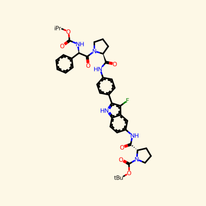 CC(C)OC(=O)N[C@@H](C(=O)N1CCC[C@H]1C(=O)Nc1ccc(-c2[nH]c3ccc(NC(=O)[C@@H]4CCCN4C(=O)OC(C)(C)C)cc3c2F)cc1)c1ccccc1